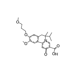 COCCCOc1cc2c(cc1OC)-c1cc(=O)c(C(=O)O)cn1C(C)(C(C)C)C2